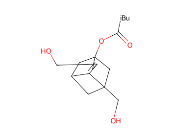 CCC(C)C(=O)OC12CC(CO)=C3C(C1)CC3(CO)C2